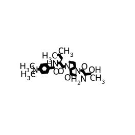 CC(C)C[C@H](NC(=O)c1ccc(N(C)C)cc1)C(=O)N1CCC2C1C(=O)CN2C(=O)[C@@H](N)[C@@H](C)O